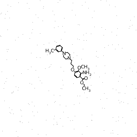 CCOC(=O)c1ccc(OCCCN2CCN(c3cccc(C)c3)CC2)c(OC)c1N